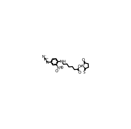 [N-]=[N+]=Nc1ccc(NCCCCCC(=O)ON2C(=O)CCC2=S)c([N+](=O)[O-])c1